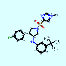 Cn1cnc(S(=O)(=O)N2C[C@@H](Nc3cccc(C(C)(C)C)c3)[C@H](c3ccc(F)cc3)C2)c1